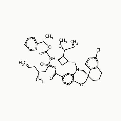 C=CC[C@H](C)CS(=O)(=NC(=O)c1ccc2c(c1)N(C[C@@H]1CC[C@H]1[C@H](C=C)OC)C[C@@]1(CCCc3cc(Cl)ccc31)CO2)NC(=O)O[C@@H](C)c1ccccc1